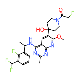 COc1nc2nc(C)nc(NC(C)c3cccc(C(F)F)c3F)c2cc1C1(O)CCN(C(=O)CF)CC1